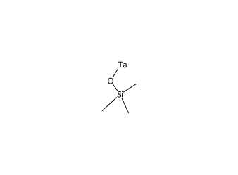 C[Si](C)(C)[O][Ta]